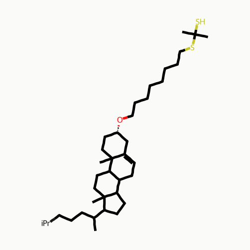 CC(C)CCCC(C)C1CCC2C3CC=C4C[C@@H](OCCCCCCCCSC(C)(C)S)CCC4(C)C3CCC12C